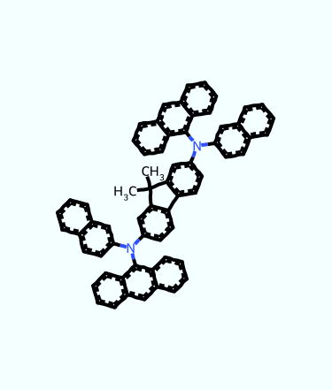 CC1(C)c2cc(N(c3ccc4ccccc4c3)c3c4ccccc4cc4ccccc34)ccc2-c2ccc(N(c3ccc4ccccc4c3)c3c4ccccc4cc4ccccc34)cc21